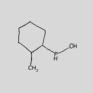 CC1CCCCC1PO